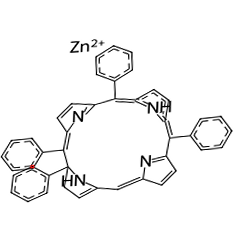 C1=CC2=NC1=CC1=CCC(c3ccccc3)(N1)C(c1ccccc1)=C1C=CC(=N1)C(c1ccccc1)=c1ccc([nH]1)=C2c1ccccc1.[Zn+2]